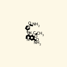 CC(C)Oc1cc2c(OC[C@H]3CCN(C(=O)CN)C3)ccnc2cc1C(N)=O